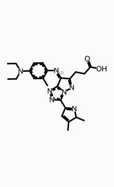 CCN(CC)c1ccc(/N=C2/C(CCC(=O)O)=Nn3c(C4=NC(C)C(C)=C4)nnc32)c(C)c1